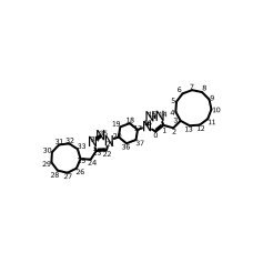 c1c(CC2CCCCCCCCCC2)nnn1C1CCC(n2cc(CC3CCCCCCCC3)nn2)CC1